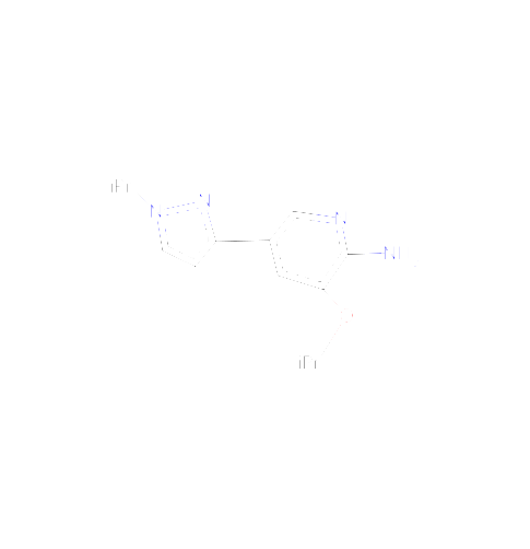 CC(C)Oc1cc(-c2ccn(C(C)C)n2)cnc1N